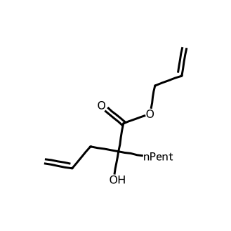 C=CCOC(=O)C(O)(CC=C)CCCCC